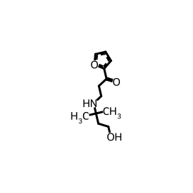 CC(C)(CCO)NCCC(=O)c1ccco1